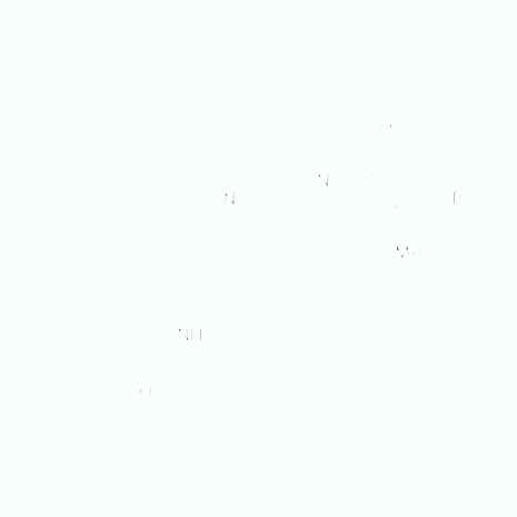 COCC(NC(=O)OC(C)(C)C)c1cc(NS(=O)(=O)C2CC2)ccn1